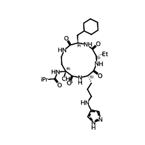 CC[C@@H]1NC(=O)[C@H](CCCNc2cn[nH]c2)NC(=O)[C@](C)(NC(=O)C(C)C)CCNC(=O)[C@@H](CC2CCCCC2)NC1=O